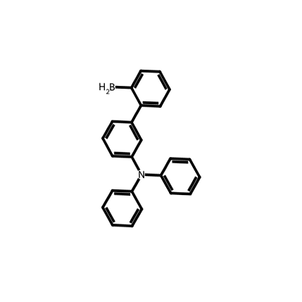 Bc1ccccc1-c1cccc(N(c2ccccc2)c2ccccc2)c1